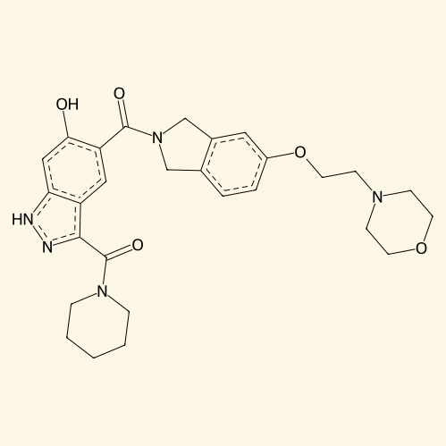 O=C(c1cc2c(C(=O)N3CCCCC3)n[nH]c2cc1O)N1Cc2ccc(OCCN3CCOCC3)cc2C1